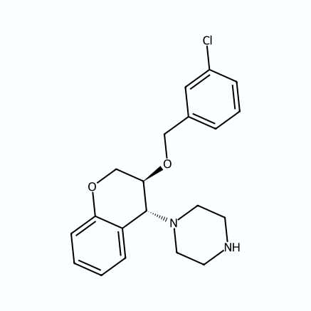 Clc1cccc(CO[C@@H]2COc3ccccc3[C@H]2N2CCNCC2)c1